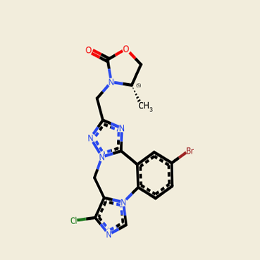 C[C@H]1COC(=O)N1Cc1nc2n(n1)Cc1c(Cl)ncn1-c1ccc(Br)cc1-2